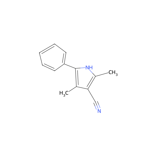 Cc1[nH]c(-c2ccccc2)c(C)c1C#N